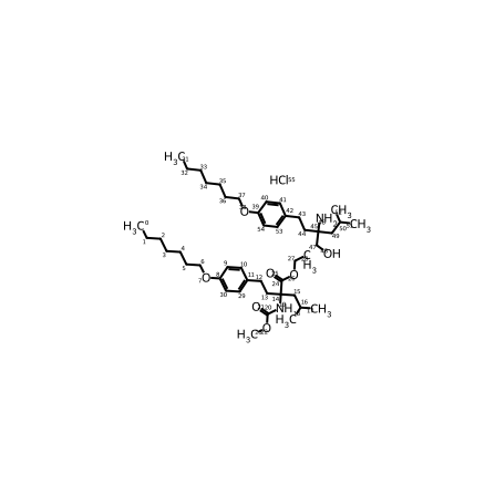 CCCCCCCOc1ccc(CCC(CC(C)C)(NC(=O)OC)C(=O)OCC)cc1.CCCCCCCOc1ccc(CCC(N)(CO)CC(C)C)cc1.Cl